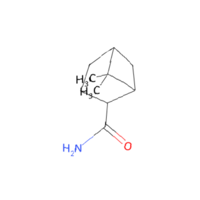 CC1(C)C2CCC(C(N)=O)C1C2